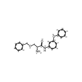 N[C@@H](COCc1ccccc1)C(=O)Nc1cccc(Oc2ccccc2)c1